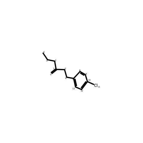 C=C(CCC)CCc1ccc(Cl)cc1